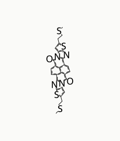 CSCCc1cc2c(nc3c4ccc5c(=O)n6c7cc(CCSC)sc7nc6c6ccc(c(=O)n23)c4c56)s1